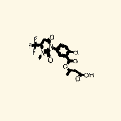 CC(CC(=O)O)OC(=O)c1cc(-n2c(=O)cc(C(F)(F)F)n(C)c2=O)ccc1Cl